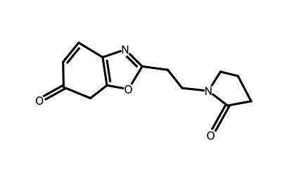 O=C1C=Cc2nc(CCN3CCCC3=O)oc2C1